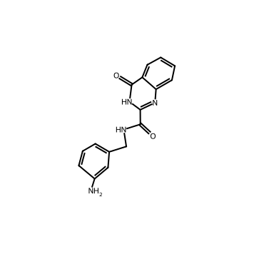 Nc1cccc(CNC(=O)c2nc3ccccc3c(=O)[nH]2)c1